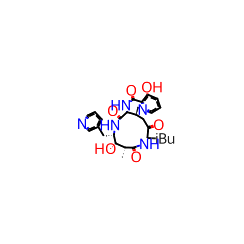 CCC(C)C1NC(=O)[C@H](C)[C@H](O)[C@H](Cc2cccnc2)NC(=O)[C@@H](NC(=O)c2ncccc2O)[C@@H](C)CC1=O